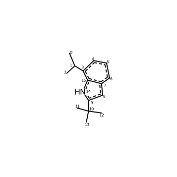 CC(C)c1cccc2cc(C(C)(C)C)[nH]c12